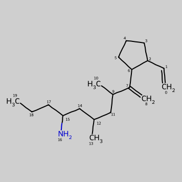 C=CC1CCCC1C(=C)C(C)CC(C)CC(N)CCC